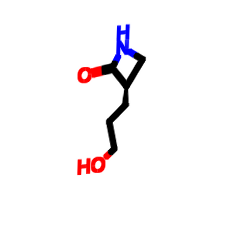 O=C1NC[C@H]1CCCO